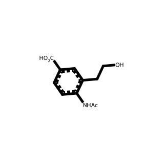 CC(=O)Nc1ccc(C(=O)O)cc1CCO